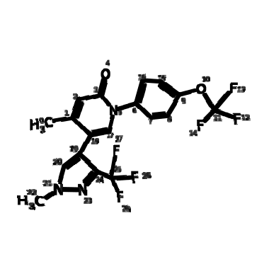 Cc1cc(=O)n(-c2ccc(OC(F)(F)F)cc2)cc1-c1cn(C)nc1C(F)(F)F